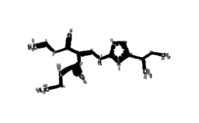 CCOC(=O)C(=CNc1nc(C(C)CC)cs1)C(=O)OCC